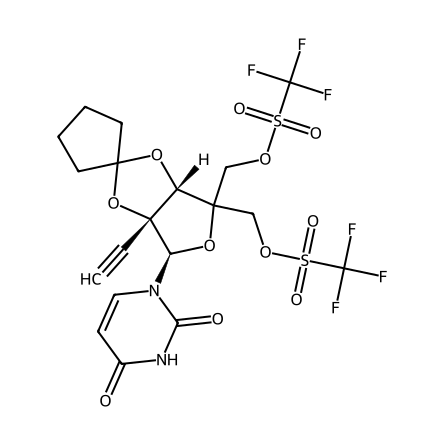 C#C[C@@]12OC3(CCCC3)O[C@@H]1C(COS(=O)(=O)C(F)(F)F)(COS(=O)(=O)C(F)(F)F)O[C@H]2n1ccc(=O)[nH]c1=O